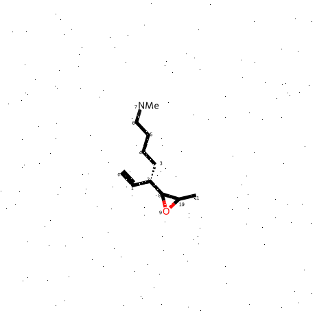 C=C[C@H](CCCCNC)C1OC1C